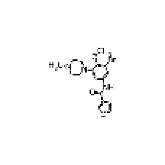 COc1c(Br)cc(NC(=O)c2ccoc2)cc1N1CCN(C)CC1